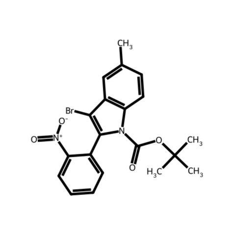 Cc1ccc2c(c1)c(Br)c(-c1ccccc1[N+](=O)[O-])n2C(=O)OC(C)(C)C